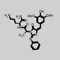 COc1cc(C=C2SC(=Nc3ccccc3)N([C@@H](C)C(=O)N[C@@H](CCCN)C(N)=O)C2=O)cc(OC)c1O